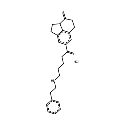 Cl.O=C(CCCCNCCc1ccccc1)c1cc2c3c(c1)CCN3C(=O)CC2